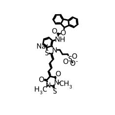 CN1C(=O)C(=CC=CC=C2Sc3cccc(NC(=O)OC4c5ccccc5-c5ccccc54)c3N2CCCS(=O)(=O)[O-])C(=O)N(C)C1=S.[Na+]